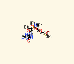 CC[C@H]1O[C@@H](n2cnc3c(=O)[nH]c(C)nc32)CC1OP(OCCOCCSC(=O)C(C)C)N(C(C)C)C(C)C